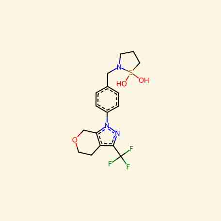 OS1(O)CCCN1Cc1ccc(-n2nc(C(F)(F)F)c3c2COCC3)cc1